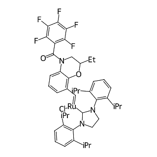 CCC1CN(C(=O)c2c(F)c(F)c(F)c(F)c2F)c2cccc([CH]=[Ru]([Cl])[CH]3N(c4c(C(C)C)cccc4C(C)C)CCN3c3c(C(C)C)cccc3C(C)C)c2O1